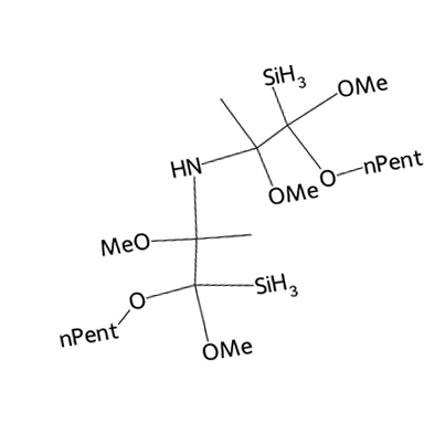 CCCCCOC([SiH3])(OC)C(C)(NC(C)(OC)C([SiH3])(OC)OCCCCC)OC